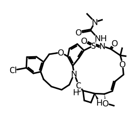 CO[C@H]1/C=C/COC(C)(C)C(=O)N=[S@](=O)(NC(=O)N(C)C)c2ccc3c(c2)N(CCCCc2cc(Cl)ccc2CO3)C[C@@H]2CC[C@H]21